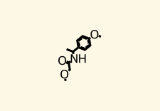 COCC(=O)NC(C)c1ccc(OC)cc1